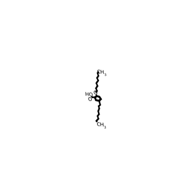 CCCCCCCCCOc1ccc(CCCCCCCCC)cc1C(=O)O